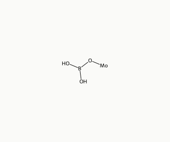 OB(O)[O][Mo]